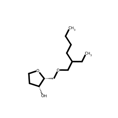 CCCCC(CC)COC[C@H]1OCC[C@H]1O